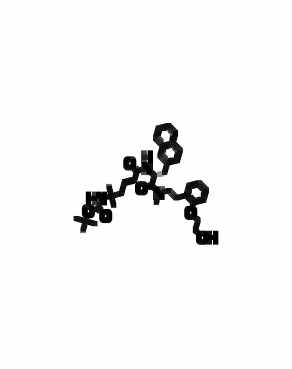 CN(CCc1ccccc1OCCO)C(=O)[C@@H](Cc1ccc2ccccc2c1)NC(=O)/C=C/CC(C)(C)NC(=O)OC(C)(C)C